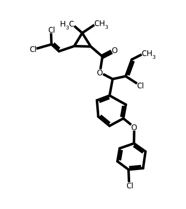 CC=C(Cl)C(OC(=O)C1C(C=C(Cl)Cl)C1(C)C)c1cccc(Oc2ccc(Cl)cc2)c1